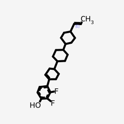 C/C=C/C1CCC(C2CCC(C3CC=C(c4ccc(O)c(F)c4F)CC3)CC2)CC1